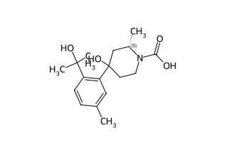 Cc1ccc(C(C)(C)O)c(C2(O)CCN(C(=O)O)[C@@H](C)C2)c1